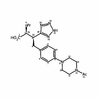 CCC[C@H](C(=O)O)[C@H](Cc1ccc(N2CCN(C(C)=O)CC2)cc1)c1nn[nH]n1